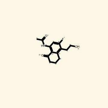 CC(=O)Nc1cc(F)c(CCO)c2c1C(=O)CCC2